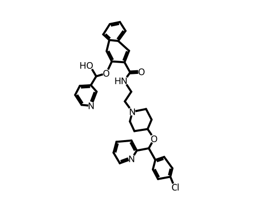 O=C(NCCN1CCC(OC(c2ccc(Cl)cc2)c2ccccn2)CC1)c1cc2ccccc2cc1OC(O)c1cccnc1